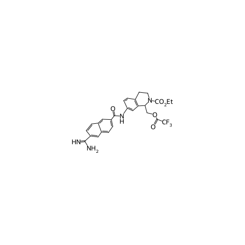 CCOC(=O)N1CCc2ccc(NC(=O)c3ccc4cc(C(=N)N)ccc4c3)cc2C1COC(=O)C(F)(F)F